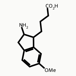 COc1ccc2c(c1)C(CCCC(=O)O)C(N)C2